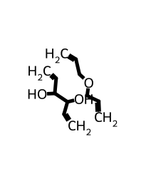 C=CC(O)C(O)C=C.C=CCOCC=C